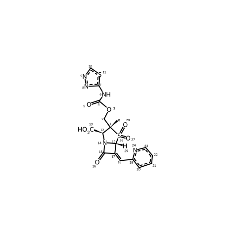 C[C@]1(COC(=O)Nc2nncs2)[C@H](C(=O)O)N2C(=O)/C(=C/c3ccccn3)[C@H]2S1(=O)=O